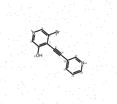 Oc1cncc(Br)c1C#Cc1cccnc1